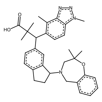 Cc1c(C(c2ccc3c(c2)C(N2Cc4ccccc4OC(C)(C)C2)CC3)C(C)(C)C(=O)O)ccc2c1nnn2C